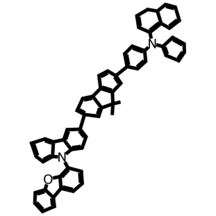 CC1(C)c2cc(-c3ccc(N(C4=C5C=CC=CC5CC=C4)c4ccccc4)cc3)ccc2-c2ccc(-c3ccc4c(c3)c3ccccc3n4-c3cccc4c3oc3ccccc34)cc21